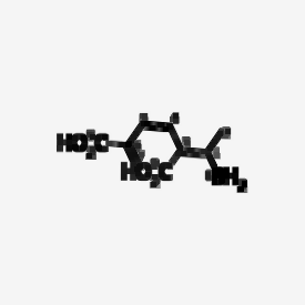 B/C(C)=C(/C=C\C(=C)C(=O)O)C(=O)O